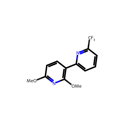 COc1ccc(-c2cccc(C(F)(F)F)n2)c(OC)n1